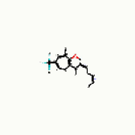 C/C=C\C/C=C\C(C)C1=C(OC)C(C)=CC(C(F)(F)F)=CC1